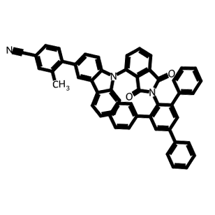 Cc1cc(C#N)ccc1-c1ccc2c(c1)c1ccccc1n2-c1cccc2c1C(=O)N(c1c(-c3ccccc3)cc(-c3ccccc3)cc1-c1ccccc1)C2=O